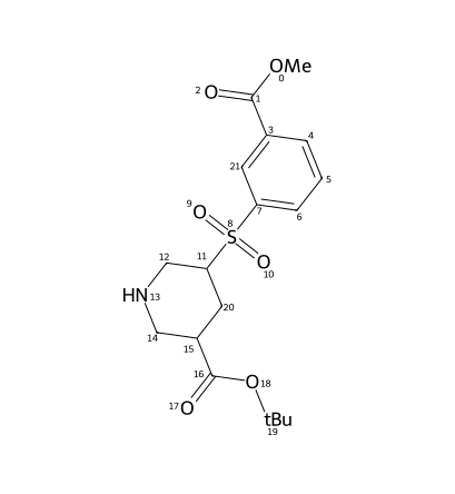 COC(=O)c1cccc(S(=O)(=O)C2CNCC(C(=O)OC(C)(C)C)C2)c1